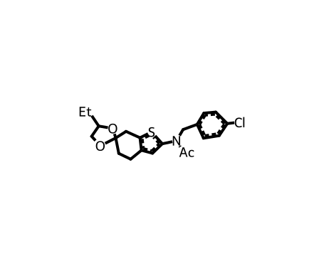 CCC1COC2(CCc3cc(N(Cc4ccc(Cl)cc4)C(C)=O)sc3C2)O1